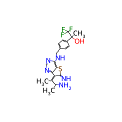 C/C(=C1/C(=N)Sc2c(NCc3ccc(C(C)(O)C(F)(F)F)cc3)ncnc21)C(C)N